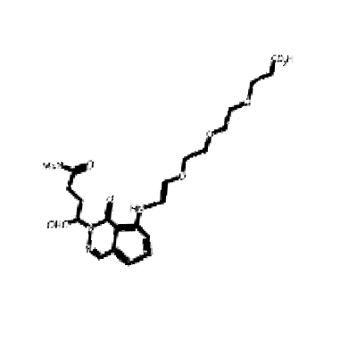 CNC(=O)CCC(C=O)n1ncc2cccc(NCCOCCOCCOCCC(=O)O)c2c1=O